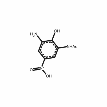 CC(=O)Nc1cc([N+](=O)O)cc(N)c1O